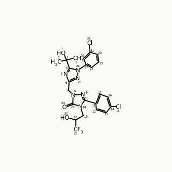 CC(C)(O)c1nc(Cn2nc(-c3ccc(Cl)cc3)n(CC(O)C(F)(F)F)c2=O)nn1-c1cccc(Cl)c1